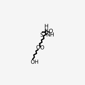 O=C1NC2CSC(CCCCC(=O)OCCCCCCO)C2N1